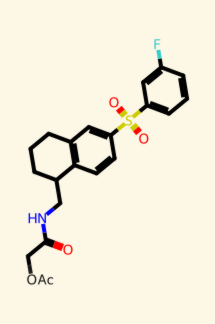 CC(=O)OCC(=O)NCC1CCCc2cc(S(=O)(=O)c3cccc(F)c3)ccc21